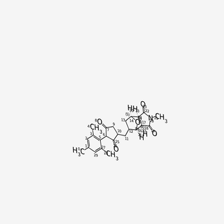 Cc1cc(C)c(C2C(=O)CC(CC3C[C@@H]4O[C@H]3[C@@H]3C(=O)N(C)C(=O)[C@@H]34)C2=O)c(C)c1